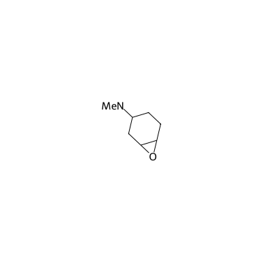 CNC1CCC2OC2C1